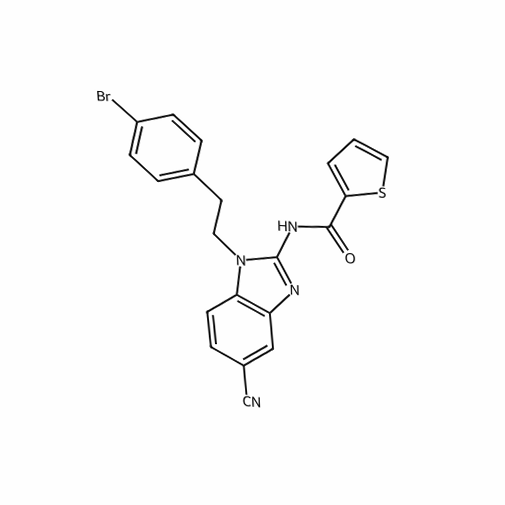 N#Cc1ccc2c(c1)nc(NC(=O)c1cccs1)n2CCc1ccc(Br)cc1